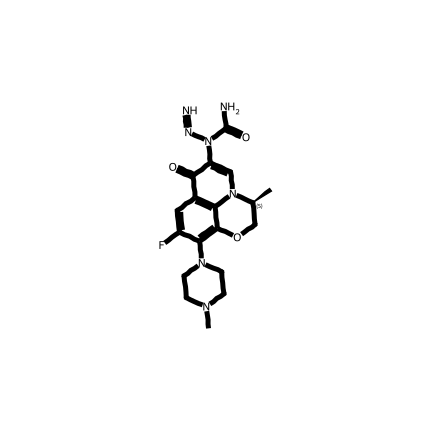 C[C@H]1COc2c(N3CCN(C)CC3)c(F)cc3c(=O)c(N(N=N)C(N)=O)cn1c23